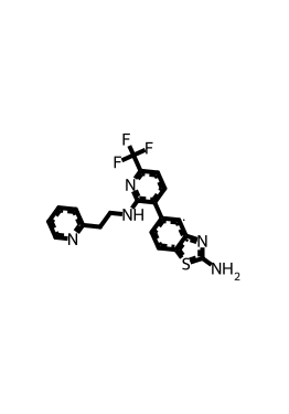 Nc1nc2[c]c(-c3ccc(C(F)(F)F)nc3NCCc3ccccn3)ccc2s1